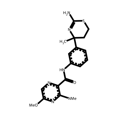 CNc1nc(OC)cnc1C(=O)Nc1cccc(C2(C)CCSC(N)=N2)c1